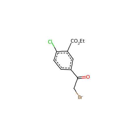 CCOC(=O)c1cc(C(=O)CBr)ccc1Cl